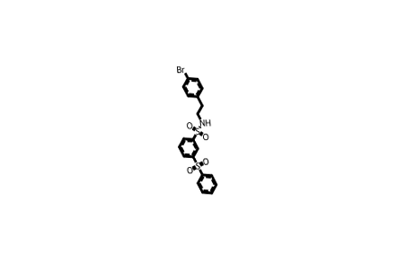 O=S(=O)(NCCc1ccc(Br)cc1)c1cccc(S(=O)(=O)c2ccccc2)c1